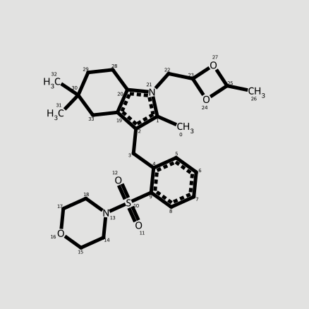 Cc1c(Cc2ccccc2S(=O)(=O)N2CCOCC2)c2c(n1CC1OC(C)O1)CCC(C)(C)C2